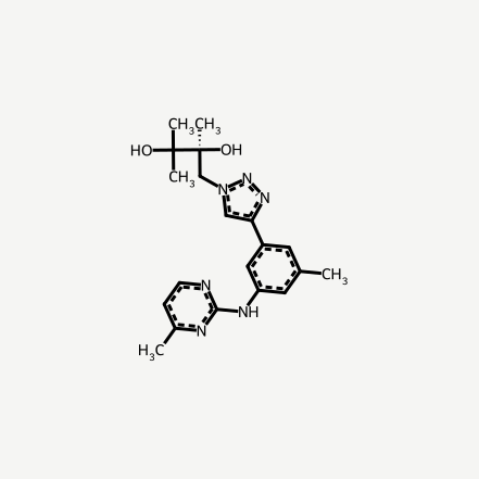 Cc1cc(Nc2nccc(C)n2)cc(-c2cn(C[C@](C)(O)C(C)(C)O)nn2)c1